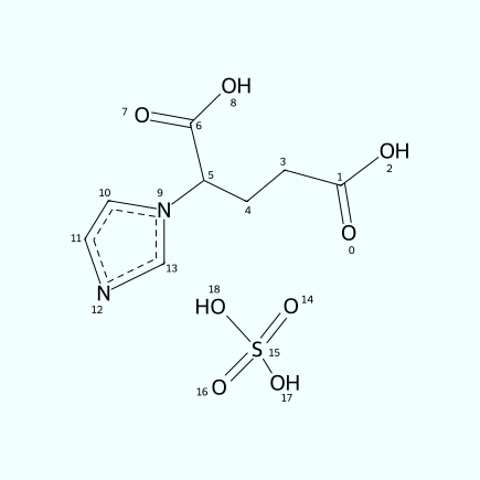 O=C(O)CCC(C(=O)O)n1ccnc1.O=S(=O)(O)O